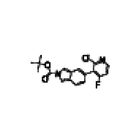 CC(C)(C)OC(=O)n1cc2ccc(-c3c(F)ccnc3Cl)cc2c1